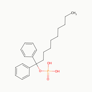 CCCCCCCCCC(OP(=O)(O)O)(c1ccccc1)c1ccccc1